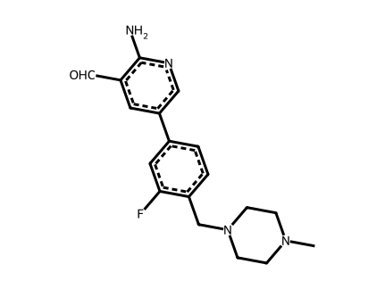 CN1CCN(Cc2ccc(-c3cnc(N)c(C=O)c3)cc2F)CC1